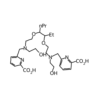 CCCC(OCCN(CCO)Cc1cccc(C(=O)O)n1)C(CC)OCCN(CCO)Cc1cccc(C(=O)O)n1